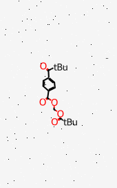 CC(C)(C)C(=O)OCOC(=O)c1ccc(C(=O)C(C)(C)C)cc1